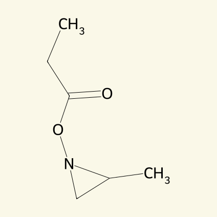 CCC(=O)ON1CC1C